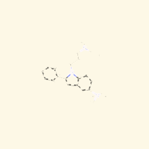 CN(C)CCCn1c(-c2ccccc2)cc2cc(N(C)C)ccc21